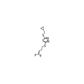 FC(F)=CCCSc1nnc(SCC2CC2)s1